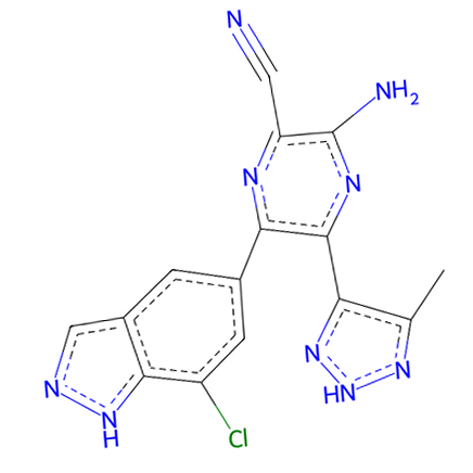 Cc1n[nH]nc1-c1nc(N)c(C#N)nc1-c1cc(Cl)c2[nH]ncc2c1